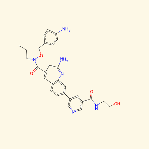 CCCN(OCc1ccc(N)cc1)C(=O)C1=Cc2ccc(-c3cncc(C(=O)NCCO)c3)cc2N=C(N)C1